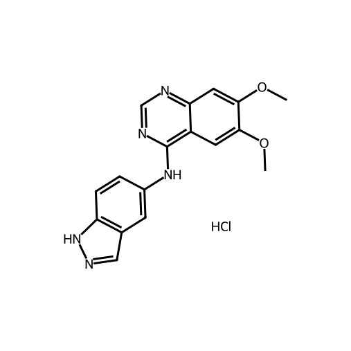 COc1cc2ncnc(Nc3ccc4[nH]ncc4c3)c2cc1OC.Cl